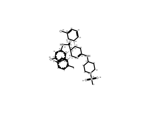 Cc1ccc(F)cc1[C@H]1N=C(NC2CCN(S(C)(=O)=O)CC2)C[C@@H](C2C=CC=C(Cl)C2)[C@]12C(=O)Nc1cc(Cl)ccc12